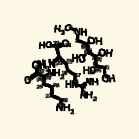 CNC[C@H](O)[C@@H](O)[C@H](O)[C@H](O)CO.N=C(N)NCCCC(N)C(=O)O.NCCCC[C@H](N)C(=O)O